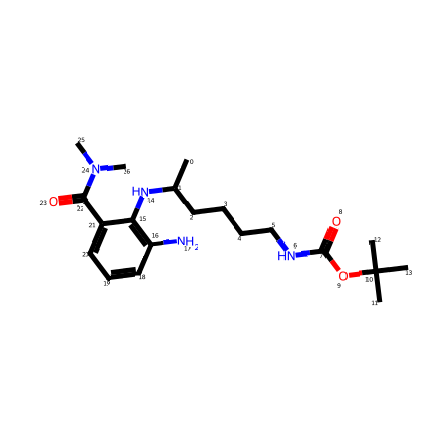 CC(CCCCNC(=O)OC(C)(C)C)Nc1c(N)cccc1C(=O)N(C)C